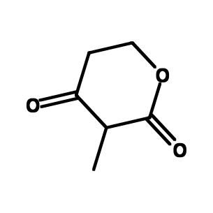 CC1C(=O)CCOC1=O